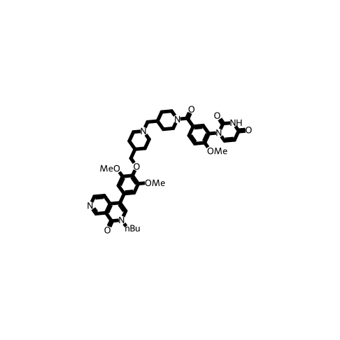 CCCCn1cc(-c2cc(OC)c(OCC3CCN(CC4CCN(C(=O)c5ccc(OC)c(-n6ccc(=O)[nH]c6=O)c5)CC4)CC3)c(OC)c2)c2ccncc2c1=O